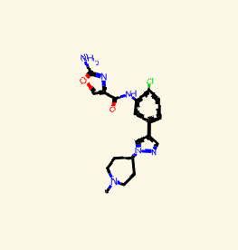 CN1CCC(n2cc(-c3ccc(Cl)c(NC(=O)c4coc(N)n4)c3)cn2)CC1